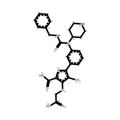 Cc1c(-c2cccc(N(C(=O)NCc3ccccc3)C3CCNCC3)c2)sc(C(=O)O)c1OCC(=O)O